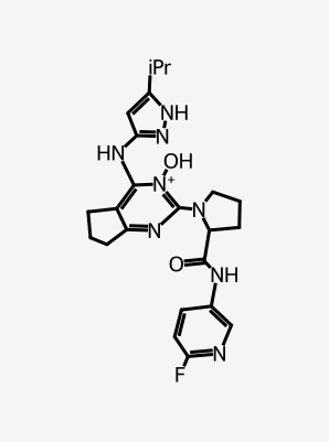 CC(C)c1cc(Nc2c3c(nc(N4CCCC4C(=O)Nc4ccc(F)nc4)[n+]2O)CCC3)n[nH]1